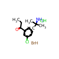 Br.CC(C)(C)N.CCC(=O)c1cccc(Cl)c1.Cl